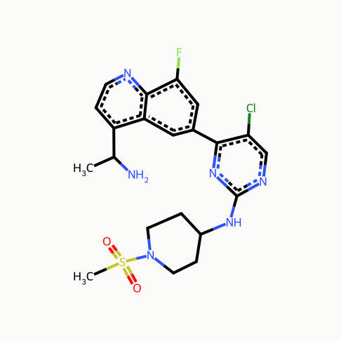 CC(N)c1ccnc2c(F)cc(-c3nc(NC4CCN(S(C)(=O)=O)CC4)ncc3Cl)cc12